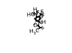 CC(I)C(=O)Nc1ccc(NO)c(C(F)(F)F)c1